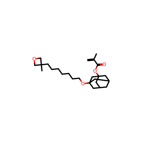 C=C(C)C(=O)OC12CC3CC(CC(OCCCCCCCC4(C)COC4)(C3)C1)C2